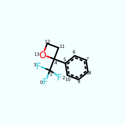 FC(F)(F)C1(c2cc[c]cc2)CCO1